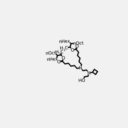 CCCCCCCCC(CCCCCC)C(C)OC(=O)CCCCCN(CCCCCC(=O)OC(C)C(CCCCCC)CCCCCCCC)CCN(CCO)C1CCC1